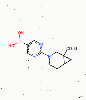 CCOC(=O)C12CC1CCN(c1ncc(B(O)O)cn1)C2